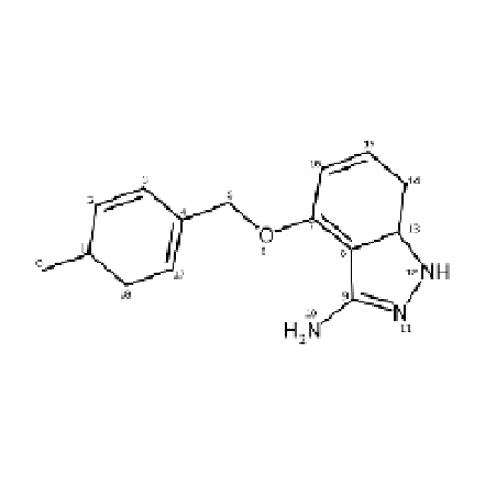 CC1C=CC(COC2=C3C(N)=NNC3CC=C2)=CC1